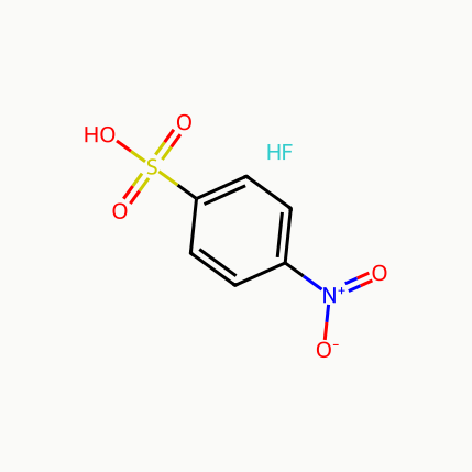 F.O=[N+]([O-])c1ccc(S(=O)(=O)O)cc1